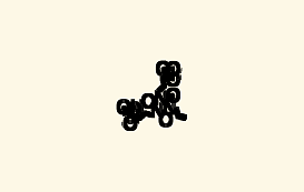 C=CCn1c(=O)n(CCC[Si](CO)(OC)OC)c(=O)n(CCC[Si](OC)(OC)OC)c1=O